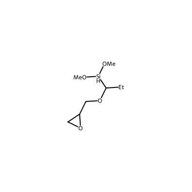 [CH2]CC(OCC1CO1)[SiH](OC)OC